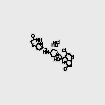 Cl.Cl.O=C1CSc2ccc(CNC3CCN(C[C@@]4(O)Cn5c(=O)ccc6ncc(Cl)c4c65)CC3)nc2N1